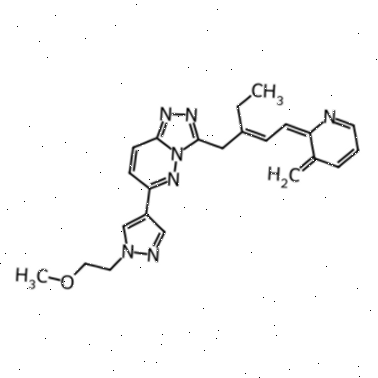 C=c1cccn/c1=C/C=C(\CC)Cc1nnc2ccc(-c3cnn(CCOC)c3)nn12